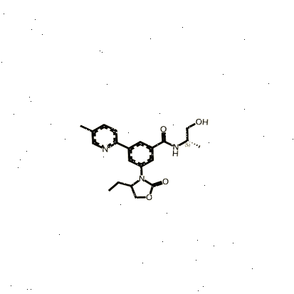 CCC1COC(=O)N1c1cc(C(=O)N[C@@H](C)CO)cc(-c2ccc(C)cn2)c1